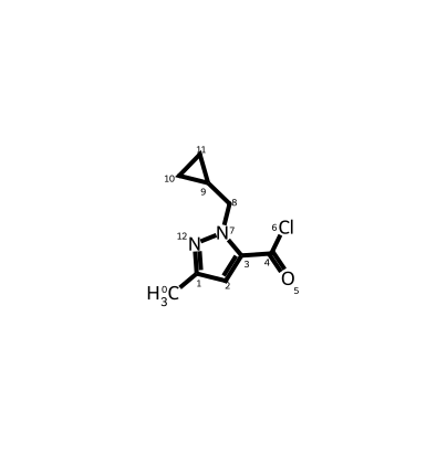 Cc1cc(C(=O)Cl)n(CC2CC2)n1